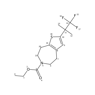 CCOC(=O)N1CCc2cc(C(C)(C)C(F)(F)F)sc2CC1